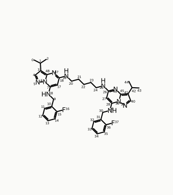 CC(C)c1cnn2c(NCc3ccccc3F)cc(NCCCCCNc3cc(NCc4ccccc4F)n4ncc(C(C)C)c4n3)nc12